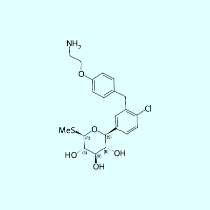 CS[C@H]1O[C@@H](c2ccc(Cl)c(Cc3ccc(OCCN)cc3)c2)[C@H](O)[C@@H](O)[C@@H]1O